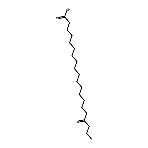 CCCC(=O)CCCCCCCCCCCCCCCC(=O)O